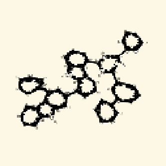 c1ccc(-c2cccc(-c3nc(-c4ccccc4)nc(-c4cccc5oc6c(-c7cc(-c8ccccc8)c8c(c7)oc7ccccc78)cccc6c45)n3)c2)cc1